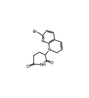 O=C1CCC(N2CC=Cc3ccc(Br)nc32)C(=O)N1